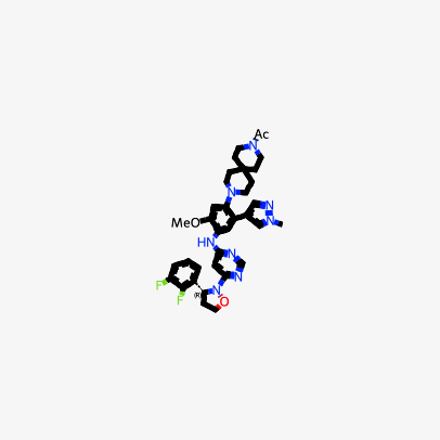 COc1cc(N2CCC3(CCN(C(C)=O)CC3)CC2)c(-c2cnn(C)c2)cc1Nc1cc(N2OCC[C@@H]2c2cccc(F)c2F)ncn1